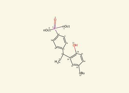 CCCCCCCCP(=O)(CCCCCCCC)c1ccc(C(C)c2cc(CCCC)ccc2O)cc1